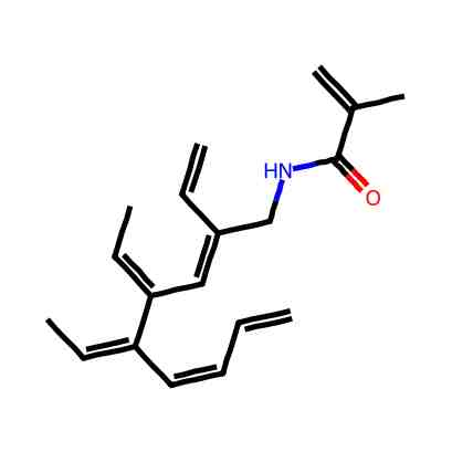 C=C/C=C\C(=CC)C(/C=C(\C=C)CNC(=O)C(=C)C)=C/C